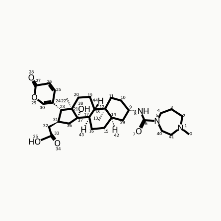 CN1CCCN(C(=O)N[C@H]2CC[C@@]3(C)[C@H](CC[C@@H]4[C@@H]3CC[C@]3(C)[C@@H](c5ccc(=O)oc5)[C@H](CC(=O)O)C[C@]43O)C2)CC1